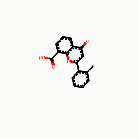 Cc1ccccc1-c1cc(=O)c2cccc(C(=O)O)c2o1